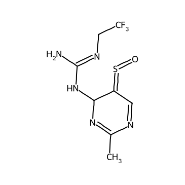 CC1=NC(NC(N)=NCC(F)(F)F)C(=S=O)C=N1